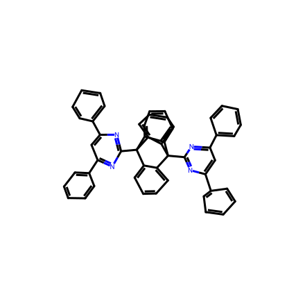 c1ccc(-c2cc(-c3ccccc3)nc(C34c5ccccc5C(c5nc(-c6ccccc6)cc(-c6ccccc6)n5)(c5ccccc53)c3ccccc34)n2)cc1